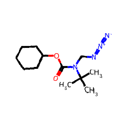 CC(C)(C)N(CN=[N+]=[N-])C(=O)OC1CCCCC1